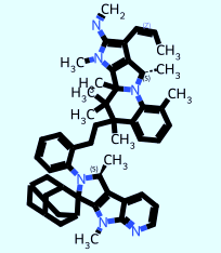 C=Nc1c(/C=C\C)c2c(n1C)C1(C)N(c3c(C)cccc3C(C)(CCc3ccccc3N3[C@@H](C)c4c(n(C)c5ncccc45)C34C3CC5CC(C3)CC4C5)C1(C)C)[C@H]2C